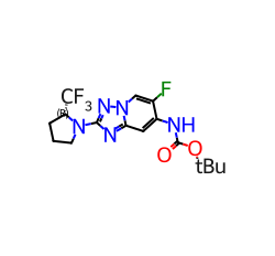 CC(C)(C)OC(=O)Nc1cc2nc(N3CCC[C@@H]3C(F)(F)F)nn2cc1F